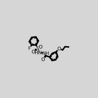 CCCOc1cccc(C(=O)NNS(=O)(=O)c2ccccc2F)c1